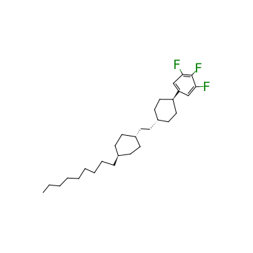 CCCCCCCCC[C@H]1CC[C@H](CC[C@H]2CC[C@H](c3cc(F)c(F)c(F)c3)CC2)CC1